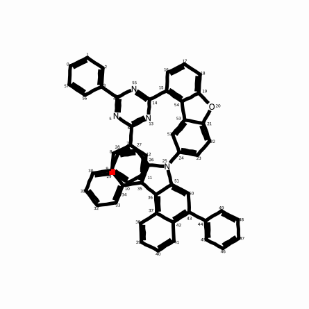 c1ccc(-c2nc(-c3ccccc3)nc(-c3cccc4oc5ccc(-n6c7ccc8ccccc8c7c7c8ccccc8c(-c8ccccc8)cc76)cc5c34)n2)cc1